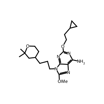 COc1nc2c(N)nc(OCCC3CC3)nc2n1CCCC1CCOC(C)(C)C1